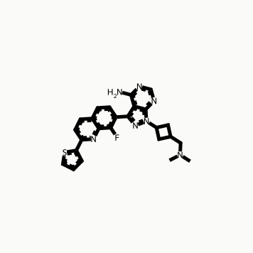 CN(C)CC1CC(n2nc(-c3ccc4ccc(-c5cccs5)nc4c3F)c3c(N)ncnc32)C1